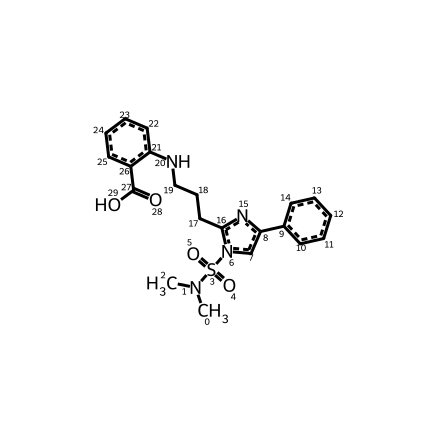 CN(C)S(=O)(=O)n1cc(-c2ccccc2)nc1CCCNc1ccccc1C(=O)O